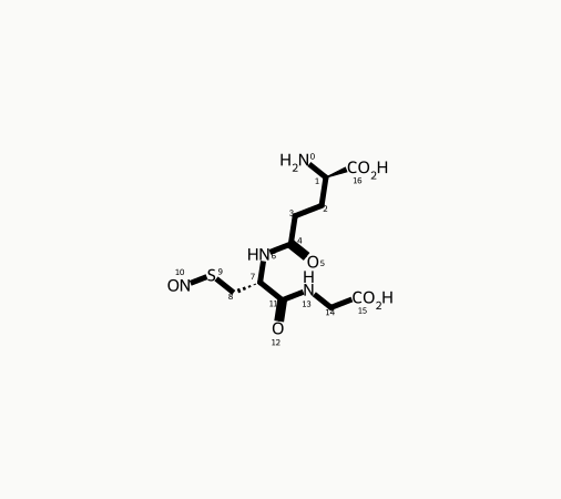 N[C@H](CCC(=O)N[C@@H](CSN=O)C(=O)NCC(=O)O)C(=O)O